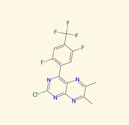 Cc1nc2nc(Cl)nc(-c3cc(F)c(C(F)(F)F)cc3F)c2nc1C